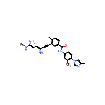 Cc1cn(-c2ccc(NC(=O)c3ccc(C)c(C#C/C(N)=C/C=C(\N)NC(C)C)c3)cc2C(F)(F)F)cn1